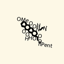 CCCCCOCC(=O)C1(O)Cc2c(O)c3c(c(O)c2C(NCCN(C)C)C1)C(=O)c1c(OC)cccc1C3=O